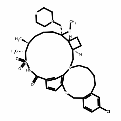 CO[C@]1(CN2CCOCC2)CCC[C@H](C)[C@@H](C)S(=O)(=O)NC(=O)c2ccc3c(c2)N(CCCCc2cc(Cl)ccc2CO3)C[C@@H]2CC[C@H]21